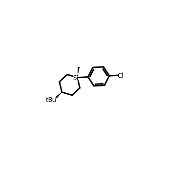 CC(C)(C)[C@H]1CC[Si@](C)(c2ccc(Cl)cc2)CC1